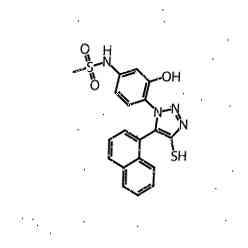 CS(=O)(=O)Nc1ccc(-n2nnc(S)c2-c2cccc3ccccc23)c(O)c1